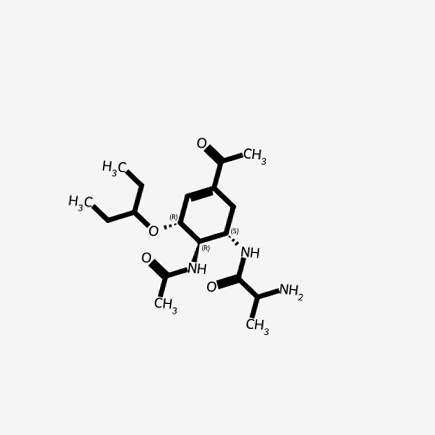 CCC(CC)O[C@@H]1C=C(C(C)=O)C[C@H](NC(=O)C(C)N)[C@H]1NC(C)=O